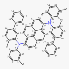 Cc1cccc(N(c2cc(-c3ccccc3)ccc2C)c2ccc3ccc4c(N(c5cc(C)ccc5C)c5cc(-c6ccccc6)ccc5C)ccc5ccc2c3c54)c1